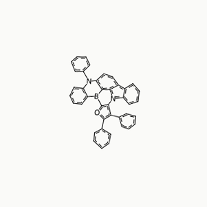 c1ccc(-c2oc3c(c2-c2ccccc2)-n2c4ccccc4c4ccc5c(c42)B3c2ccccc2N5c2ccccc2)cc1